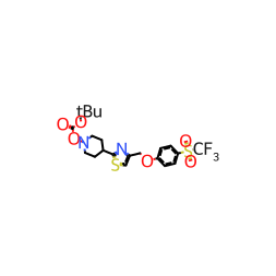 CC(C)(C)OC(=O)ON1CCC(c2nc(COc3ccc(S(=O)(=O)C(F)(F)F)cc3)cs2)CC1